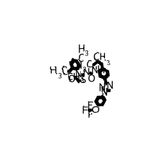 C/C(=C/c1ccc(-c2ncn(-c3ccc(OC(F)(F)F)cc3)n2)cc1)C(C)NC(=O)/N=C1\SCC(=O)N1c1cc(C)ccc1C(C)C